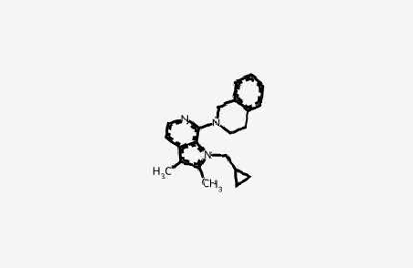 Cc1c(C)n(CC2CC2)c2c(N3CCc4ccccc4C3)nccc12